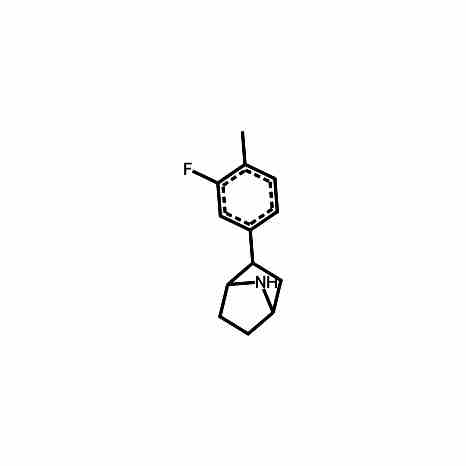 Cc1ccc(C2CC3CCC2N3)cc1F